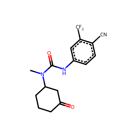 CN(C(=O)Nc1ccc(C#N)c(C(F)(F)F)c1)C1CCCC(=O)C1